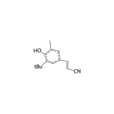 Cc1cc(/C=C/C#N)cc(C(C)(C)C)c1O